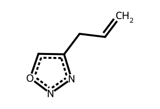 C=CCc1conn1